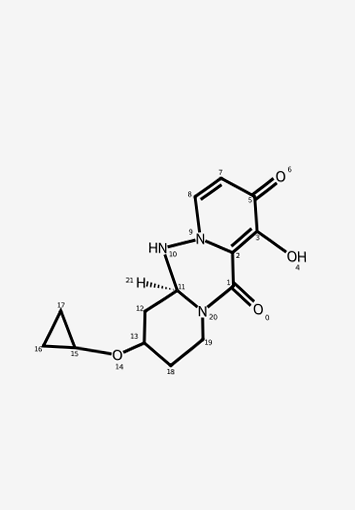 O=C1c2c(O)c(=O)ccn2N[C@@H]2CC(OC3CC3)CCN12